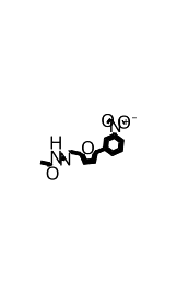 CC(=O)N/N=C/c1ccc(-c2cccc([N+](=O)[O-])c2)o1